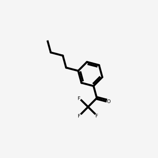 CCCCc1cccc(C(=O)C(F)(F)F)c1